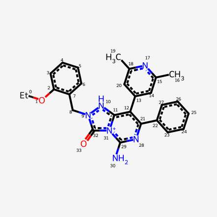 CCOc1ccccc1Cn1[nH]c2c(-c3cc(C)nc(C)c3)c(-c3ccccc3)nc(N)[n+]2c1=O